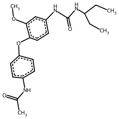 CCC(CC)NC(=O)Nc1ccc(Oc2ccc(NC(C)=O)cc2)c(OC)c1